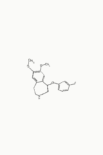 COc1cc2c(cc1OC)C(Oc1cccc(F)c1)CNCC2